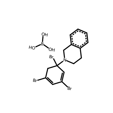 BrC1=CC(Br)(N2CCc3ccccc3C2)CC(Br)=C1.OB(O)O